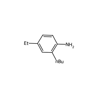 CCCCc1cc(CC)ccc1N